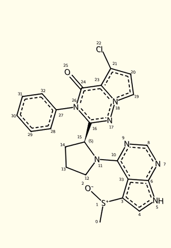 C[S+]([O-])c1c[nH]c2ncnc(N3CCC[C@H]3c3nn4ccc(Cl)c4c(=O)n3-c3ccccc3)c12